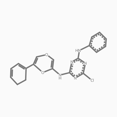 Clc1nc(NC2=COC=C(C3=CC=CCC3)O2)nc(Nc2ccccc2)n1